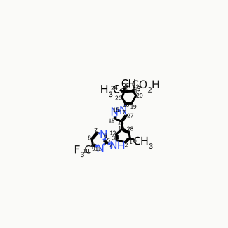 Cc1cc(Nc2nccc(C(F)(F)F)n2)cc(-c2cnn(C3CCC(C(=O)O)C(C)(C)C3)c2)c1